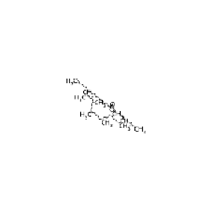 CC(C)CCCC(C)CCCC(C)CCCCC(C)CCCC(C)CCCC(C)C.CCCCCCCCCCCCCCCCCC(=O)OCCCCCCCCCCCC